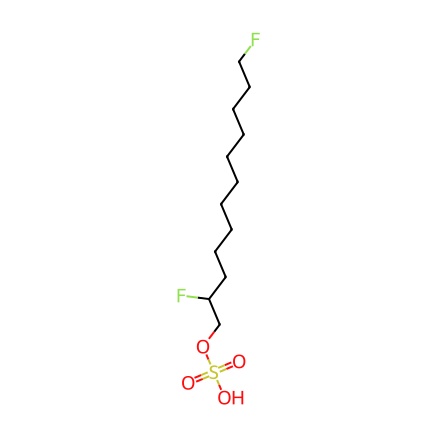 O=S(=O)(O)OCC(F)CCCCCCCCCCF